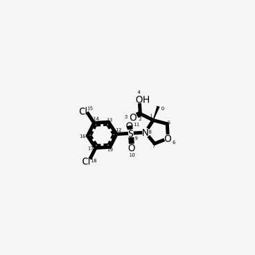 C[C@@]1(C(=O)O)COCN1S(=O)(=O)c1cc(Cl)cc(Cl)c1